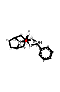 O=C(OCc1ccccc1)N1C2CCC1CC(=NO)C2